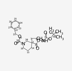 CCC1(C(=O)ONC(=O)OC(C)(C)C)CCCN(C(=O)OCc2ccccc2)C1